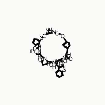 COC(=O)[C@@H]1Cc2ccc(cc2)OCCn2cc(nn2)COc2ccccc2C(=O)N[C@H](CC(C)C)C(=O)N2CCC[C@@H]2C(=O)N[C@H](Cc2csc3ccccc23)C(=O)N1